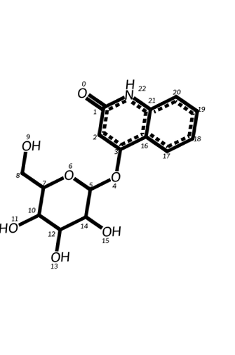 O=c1cc(OC2OC(CO)C(O)C(O)C2O)c2ccccc2[nH]1